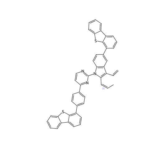 C=Cc1c(/C=C\C)n(-c2nccc(-c3ccc(-c4cccc5c4sc4ccccc45)cc3)n2)c2ccc(-c3cccc4c3sc3ccccc34)cc12